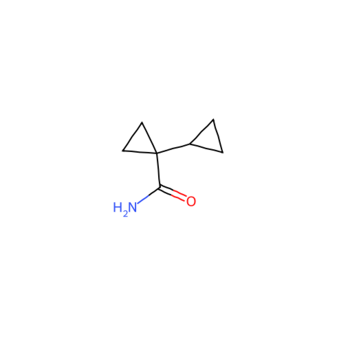 NC(=O)C1(C2CC2)CC1